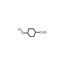 CCOC1CCC(C=O)CC1